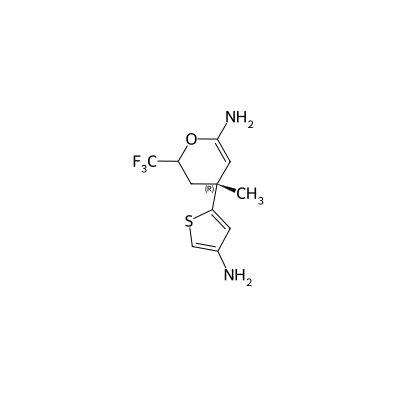 C[C@]1(c2cc(N)cs2)C=C(N)OC(C(F)(F)F)C1